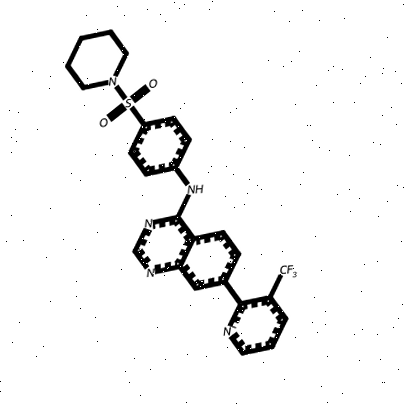 O=S(=O)(c1ccc(Nc2ncnc3cc(-c4ncccc4C(F)(F)F)ccc23)cc1)N1CCCCC1